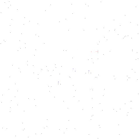 Cc1cn2c(C(=O)O)nc(Br)c2cn1